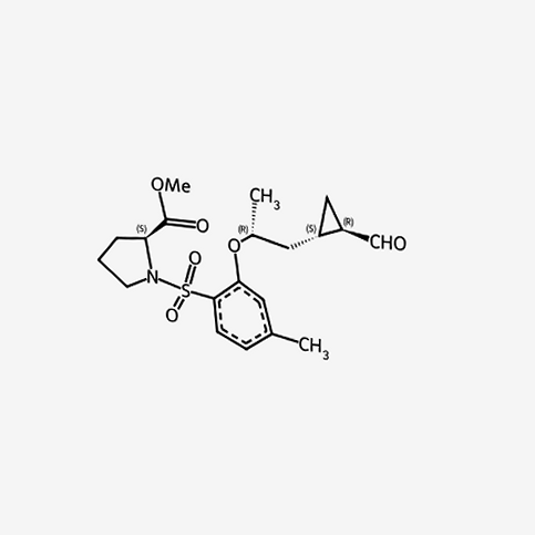 COC(=O)[C@@H]1CCCN1S(=O)(=O)c1ccc(C)cc1O[C@H](C)C[C@@H]1C[C@H]1C=O